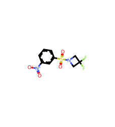 O=[N+]([O-])c1cccc(S(=O)(=O)N2CC(F)(F)C2)c1